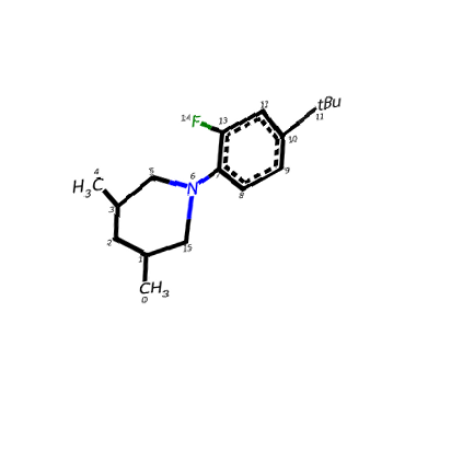 CC1CC(C)CN(c2ccc(C(C)(C)C)cc2F)C1